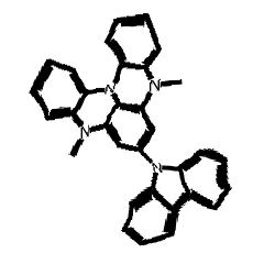 CN1c2ccccc2N2c3ccccc3N(C)c3cc(-n4c5ccccc5c5ccccc54)cc1c32